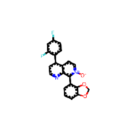 [O-][n+]1ccc2c(-c3ccc(F)cc3F)ccnc2c1-c1cccc2c1OCO2